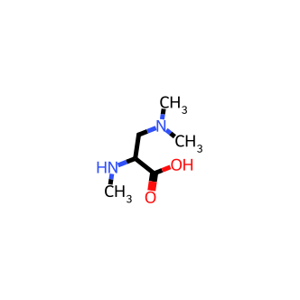 CNC(CN(C)C)C(=O)O